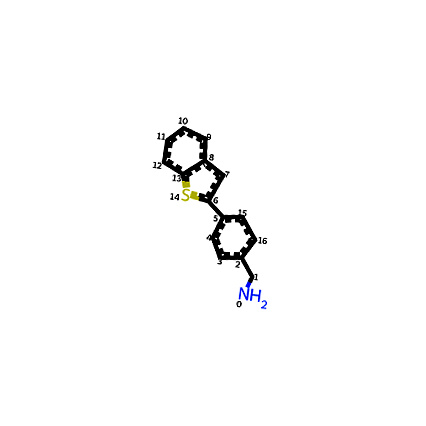 NCc1ccc(-c2cc3ccccc3s2)cc1